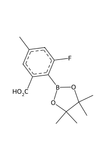 Cc1cc(F)c(B2OC(C)(C)C(C)(C)O2)c(C(=O)O)c1